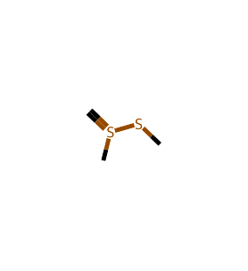 C=S(C)SC